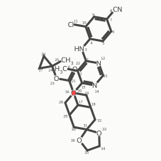 Cc1c(Nc2ccc(C#N)cc2Cl)ncnc1OC1C2CN(C(=O)OC3(C)CC3)CC1CC1(C2)OCCO1